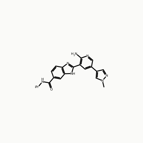 CC(C)NC(=O)c1ccc2nc(-c3cc(-c4cnn(C)c4)cnc3N)[nH]c2c1